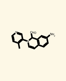 Cc1ccncc1N1C=Cc2ccc(N)cc2C1C=O